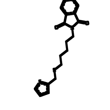 O=C1c2ccccc2C(=O)N1CCCCCSCc1cccs1